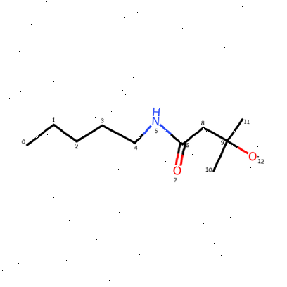 CCCCCNC(=O)CC(C)(C)[O]